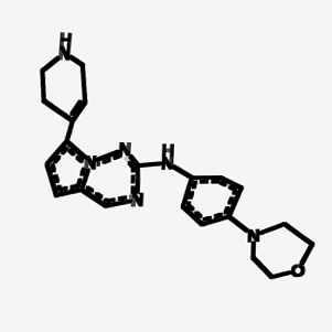 C1=C(c2ccc3cnc(Nc4ccc(N5CCOCC5)cc4)nn23)CCNC1